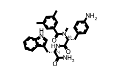 Cc1cc(C)cc(C(=O)N(C)[C@H](Cc2ccc(N)cc2)C(=O)N[C@@H](Cc2c[nH]c3ccccc23)C(N)=O)c1